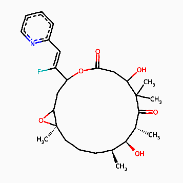 C[C@H]1CCC[C@@]2(C)OC2CC(C(F)=Cc2ccccn2)OC(=O)CC(O)C(C)(C)C(=O)[C@H](C)[C@H]1O